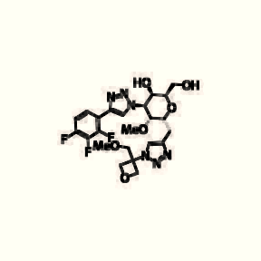 COCC1(n2cc(C[C@H]3O[C@H](CO)[C@H](O)[C@H](n4cc(-c5ccc(F)c(F)c5F)nn4)[C@H]3OC)nn2)COC1